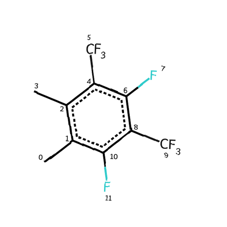 Cc1c(C)c(C(F)(F)F)c(F)c(C(F)(F)F)c1F